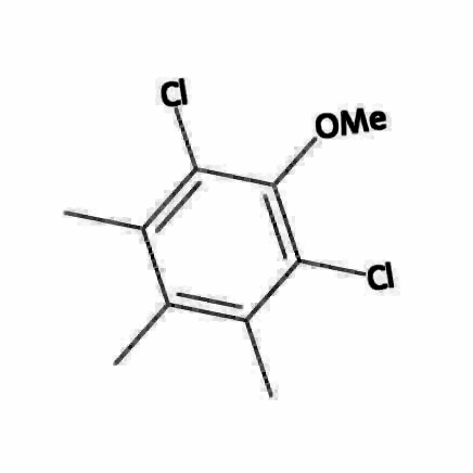 COc1c(Cl)c(C)c(C)c(C)c1Cl